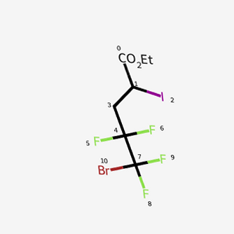 CCOC(=O)C(I)CC(F)(F)C(F)(F)Br